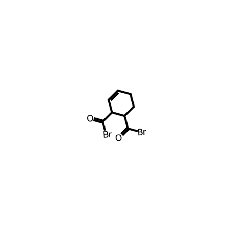 O=C(Br)C1C=CCCC1C(=O)Br